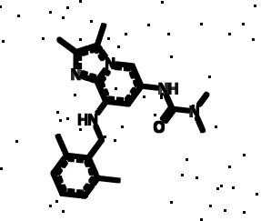 Cc1cccc(C)c1CNc1cc(NC(=O)N(C)C)cn2c(C)c(C)nc12